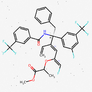 C=C/C(=C\C(=C\F)OC(C)C(=O)OC)[C@@](Cc1ccccc1)(NC(=O)c1cccc(C(F)(F)F)c1)c1cc(F)cc(C(F)(F)F)c1